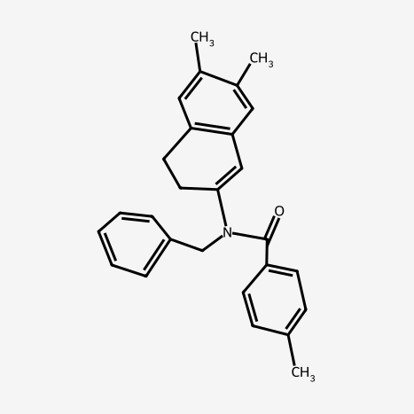 Cc1ccc(C(=O)N(Cc2ccccc2)C2=Cc3cc(C)c(C)cc3CC2)cc1